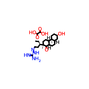 CC[C@H](C/C=N\NC(=N)N)[C@@]1(C)CC[C@H]2[C@@H](CC[C@@H]3C[C@@H](O)CC[C@@]32C)C1=O.O=C(O)C(=O)O